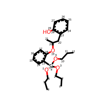 CCCO[Si](OCCC)(OCCC)c1ccccc1OC(C)Cc1ccccc1O